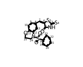 O=C1NC(=S)SC1=Cc1ccc2c(c1)N(S(=O)(=O)c1ccccc1)CCO2